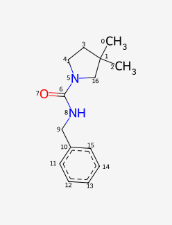 CC1(C)C[CH]N(C(=O)NCc2ccccc2)C1